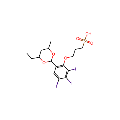 CCC1CC(C)OC(c2cc(I)c(I)c(I)c2OCCCS(=O)(=O)O)O1